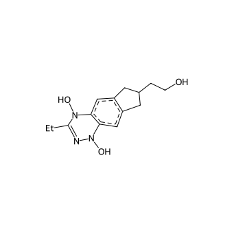 CCC1=NN(O)c2cc3c(cc2N1O)CC(CCO)C3